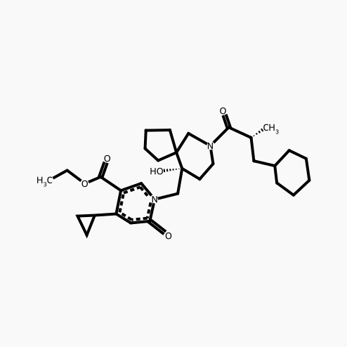 CCOC(=O)c1cn(C[C@]2(O)CCN(C(=O)[C@H](C)CC3CCCCC3)CC23CCCC3)c(=O)cc1C1CC1